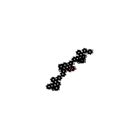 c1ccc(-c2cccc(-c3c4ccccc4c(-c4cc5ccc(-c6ccc(-c7c8ccccc8c(-c8cc9ccc(-c%10ccc(-c%11c%12ccccc%12c(-c%12cc%13ccccc%13c%13oc%14ccccc%14c%12%13)c%12ccccc%11%12)cc%10)cc9c9oc%10ccccc%10c89)c8ccccc78)c(-c7ccccc7)c6)cc5c5oc6ccccc6c45)c4ccccc34)c2)cc1